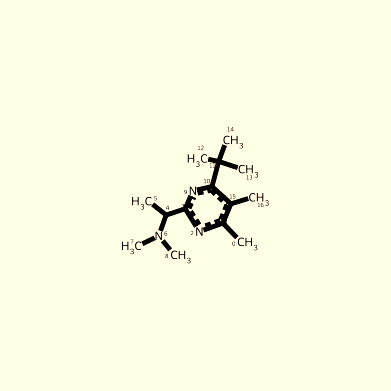 Cc1nc(C(C)N(C)C)nc(C(C)(C)C)c1C